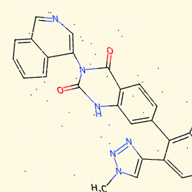 Cn1cc(-c2cccc(Cl)c2-c2ccc3c(=O)n(-c4cncc5ccccc45)c(=O)[nH]c3c2)nn1